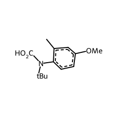 COc1ccc(N(C(=O)O)C(C)(C)C)c(C)c1